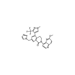 COc1ccc2nccc(N3CCc4c(cc(Cn5ccnc5)cc4-c4cn(C)nc4C(F)(F)F)C3=O)c2n1